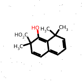 CC1(C)C=CC=C2C=CC(C)(C(=O)O)C(O)=C21